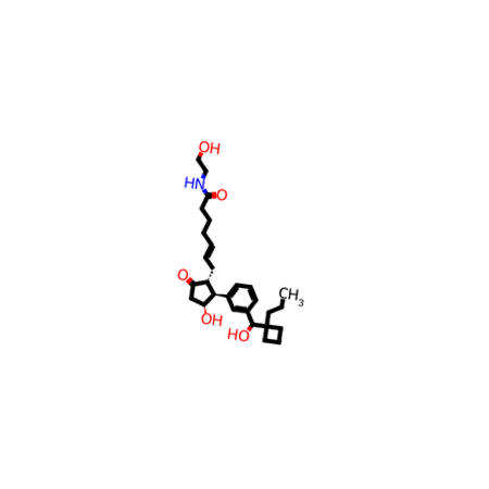 CCCC1(C(O)c2cccc([C@H]3[C@H](O)CC(=O)[C@@H]3CC=CCCCC(=O)NCCO)c2)CCC1